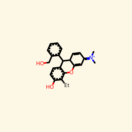 CCc1c(O)ccc2c1OC1=CC(=[N+](C)C)C=CC1C2c1ccccc1CO